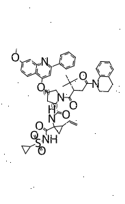 C=CC1CC1(NC(=O)[C@@H]1C[C@@H](Oc2cc(-c3ccccc3)nc3cc(OC)ccc23)CN1C(=O)C(CC(=O)N1CCCc2ccccc21)C(C)(C)C)C(=O)NS(=O)(=O)C1CC1